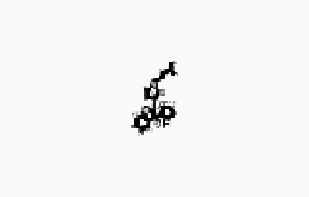 CC(C)=CCCN1CC[C@H](OC(=O)C(O)(c2ccccc2)C2CCCC2)C1